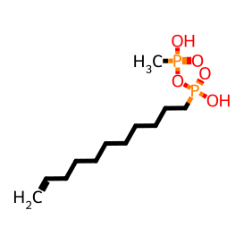 C=CCCCCCCCCCP(=O)(O)OP(C)(=O)O